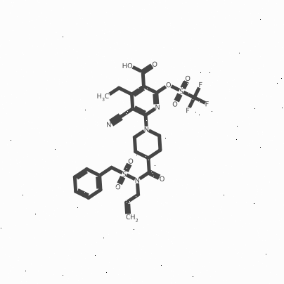 C=CCN(C(=O)C1CCN(c2nc(OS(=O)(=O)C(F)(F)F)c(C(=O)O)c(CC)c2C#N)CC1)S(=O)(=O)Cc1ccccc1